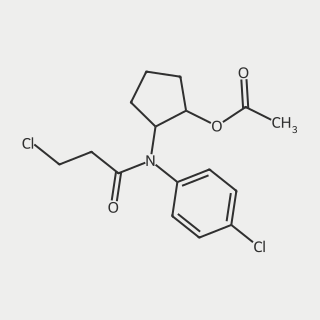 CC(=O)OC1CCCC1N(C(=O)CCCl)c1ccc(Cl)cc1